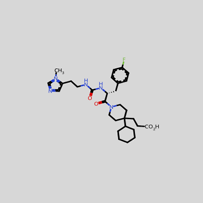 Cn1cncc1CCNC(=O)N[C@H](Cc1ccc(F)cc1)C(=O)N1CCC(CCC(=O)O)(C2CCCCC2)CC1